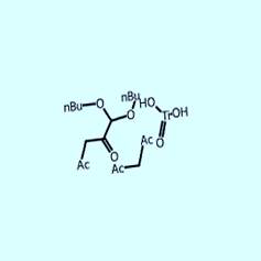 CC(=O)CC(C)=O.CCCCOC(OCCCC)C(=O)CC(C)=O.[O]=[Ti]([OH])[OH]